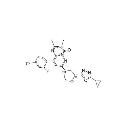 Cc1nc2c(-c3ccc(Cl)cc3F)cc([C@@H]3CCO[C@@H](c4nnc(C5CC5)o4)C3)nn2c(=O)c1C